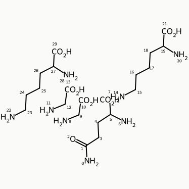 NC(=O)CCC(N)C(=O)O.NCC(=O)O.NCC(=O)O.NCCCCC(N)C(=O)O.NCCCCC(N)C(=O)O